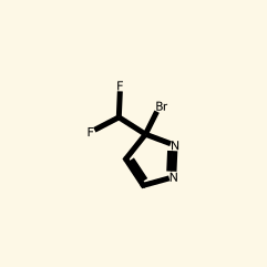 FC(F)C1(Br)C=CN=N1